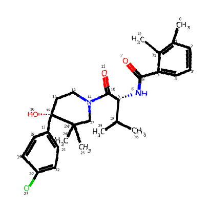 Cc1cccc(C(=O)N[C@@H](C(=O)N2CC[C@](O)(c3ccc(Cl)cc3)C(C)(C)C2)C(C)C)c1C